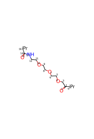 CC(C)C(=O)COCCOCCOCCNC(=O)C(C)C